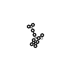 c1ccc2c(c1)-c1ccccc1C21c2ccccc2-c2ccc(N(c3ccc(-c4ccc(-n5c6ccccc6c6ccccc65)cc4)cc3)c3ccc4oc5ccccc5c4c3)cc21